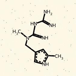 Cc1cc(CN(C)C(=N)NC(=N)N)c[nH]1